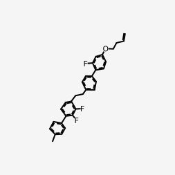 C=CCCOc1ccc(-c2ccc(CCc3ccc(-c4ccc(C)cc4)c(F)c3F)cc2)c(F)c1